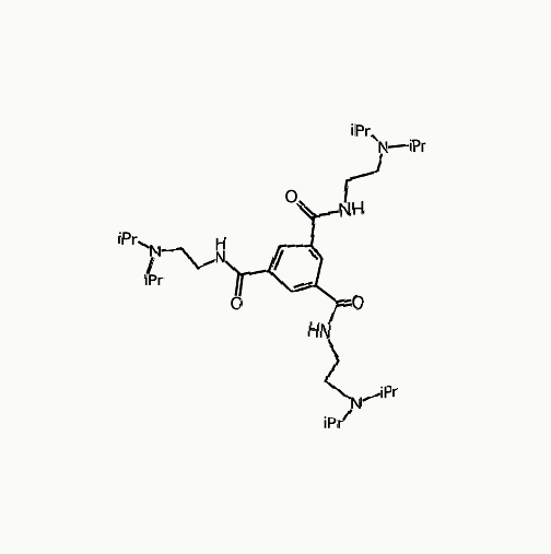 CC(C)N(CCNC(=O)c1cc(C(=O)NCCN(C(C)C)C(C)C)cc(C(=O)NCCN(C(C)C)C(C)C)c1)C(C)C